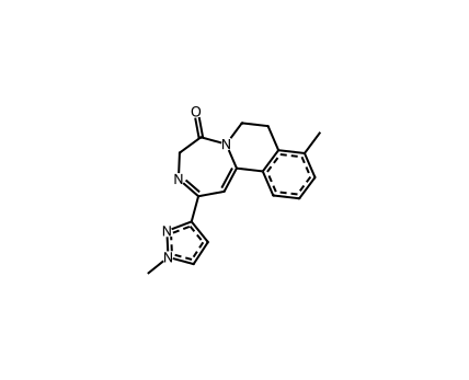 Cc1cccc2c1CCN1C(=O)CN=C(c3ccn(C)n3)C=C21